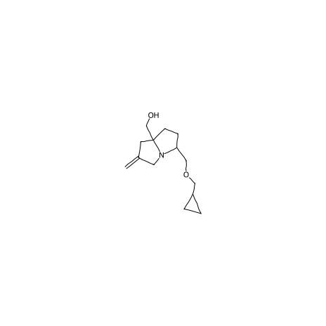 C=C1CN2C(COCC3CC3)CCC2(CO)C1